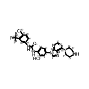 Cl.O=C(Nc1ccc(-n2cnc3c(N4CCNCC4)ncnc32)cc1)Nc1ccc(Cl)c(C(F)(F)F)c1